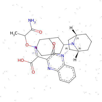 CC(O/N=C(\C(=O)O)c1nc2ccccc2n([C@@H]2C[C@@H]3CCC[C@H]2N3C2CC3CCCC(C3)C2)c1=O)C(N)=O